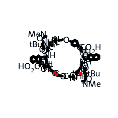 CN[C@@H](C)C(=O)N[C@H](C(=O)N1C[C@@H]2C[C@H]1C(=O)N[C@@H](Cc1ccc3ccccc3c1)C(=O)N[C@H](C(=O)O)Cc1ccc(cc1)OCc1cn(nn1)[C@H]1C[C@@H](C(=O)N[C@@H](Cc3ccc4ccccc4c3)C(=O)N[C@H](C(=O)NCCC(=O)O)Cc3ccc(cc3)OCc3cn2nn3)N(C(=O)[C@@H](NC(=O)[C@H](C)NC)C(C)(C)C)C1)C(C)(C)C